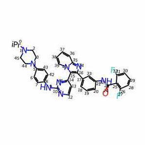 CC(C)N1CCN(c2ccc(Nc3nccc(-c4c(-c5cccc(NC(=O)c6c(F)cccc6F)c5)nc5ccccn45)n3)cc2)CC1